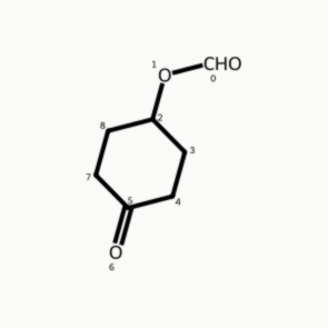 O=COC1CCC(=O)CC1